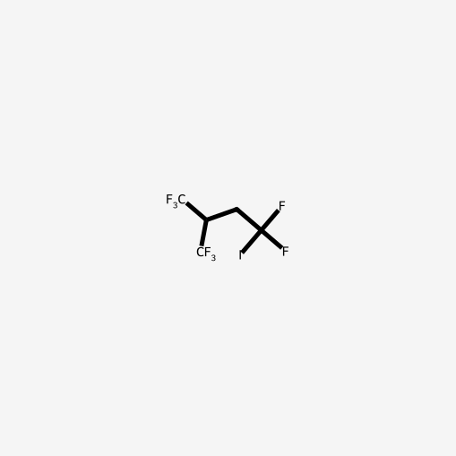 FC(F)(I)CC(C(F)(F)F)C(F)(F)F